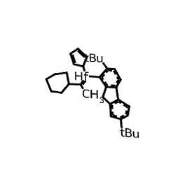 C[C](C1CCCCC1)=[Hf]([c]1c(C(C)(C)C)ccc2c1Cc1cc(C(C)(C)C)ccc1-2)[CH]1C=CC=C1